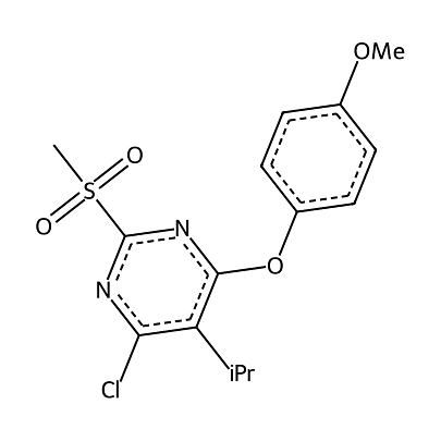 COc1ccc(Oc2nc(S(C)(=O)=O)nc(Cl)c2C(C)C)cc1